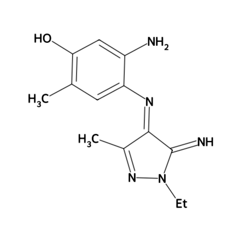 CCN1N=C(C)C(=Nc2cc(C)c(O)cc2N)C1=N